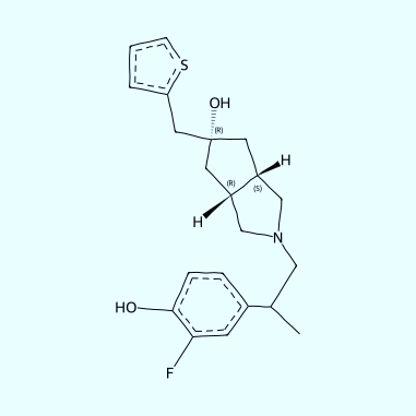 CC(CN1C[C@@H]2C[C@@](O)(Cc3cccs3)C[C@@H]2C1)c1ccc(O)c(F)c1